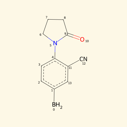 Bc1ccc(N2CCCC2=O)c(C#N)c1